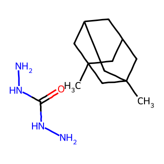 CC12CC3CC(C1)CC(C)(C3)C2.NNC(=O)NN